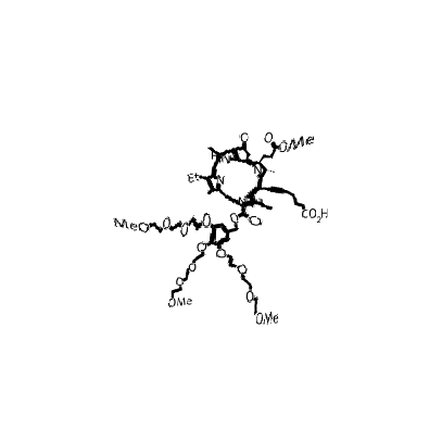 CCC1=C(C)c2cc3[nH]c(c(C)c3C(=O)OCc3cc(OCCOCCOCCOC)c(OCCOCCOCCOC)c(OCCOCCOCCOC)c3)c(C#CCCCC(=O)O)c3nc(c4c5[nH]c(cc1n2)c(C)c5C(=O)C4)[C@@H](CCC(=O)OC)[C@@H]3C